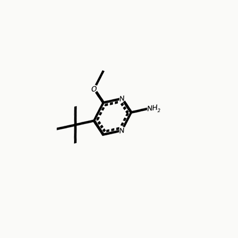 COc1nc(N)ncc1C(C)(C)C